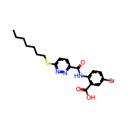 CCCCCCCSc1ccc(C(=O)Nc2ccc(Br)cc2C(=O)O)nn1